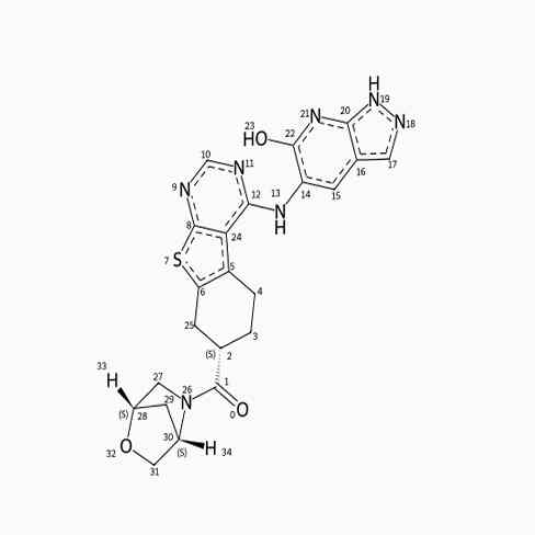 O=C([C@H]1CCc2c(sc3ncnc(Nc4cc5cn[nH]c5nc4O)c23)C1)N1C[C@@H]2C[C@H]1CO2